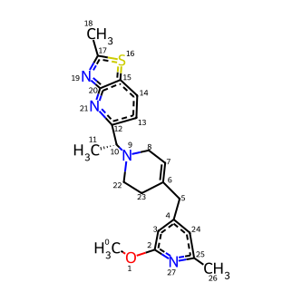 COc1cc(CC2=CCN([C@H](C)c3ccc4sc(C)nc4n3)CC2)cc(C)n1